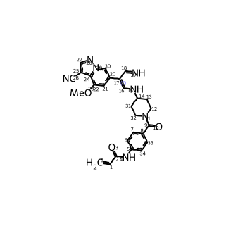 C=CC(=O)Nc1ccc(C(=O)N2CCC(N/C=C(\C=N)c3cc(OC)c4c(C#N)cnn4c3)CC2)cc1